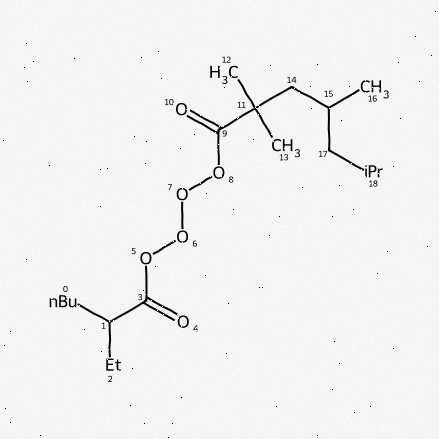 CCCCC(CC)C(=O)OOOOC(=O)C(C)(C)CC(C)CC(C)C